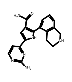 NC(=O)c1cc(-c2ccnc(N)n2)[nH]c1-c1cccc2c1CCNC2